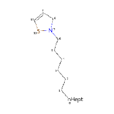 CCCCCCCCCCCCCN1CC=CS1